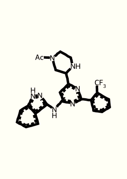 CC(=O)N1CCNC(c2cc(Nc3n[nH]c4ccccc34)nc(-c3ccccc3C(F)(F)F)n2)C1